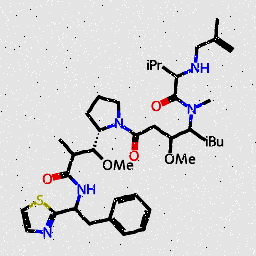 C=C(C)CNC(C(=O)N(C)C(C(C)CC)C(CC(=O)N1CCC[C@H]1C(OC)C(C)C(=O)NC(Cc1ccccc1)c1nccs1)OC)C(C)C